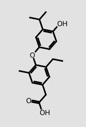 CCc1cc(CC(=O)O)cc(C)c1Oc1ccc(O)c(C(C)C)c1